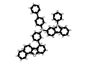 c1ccc(-c2ccc(N(c3cccc(-c4cccc5oc6c7ccccc7ccc6c45)c3)c3ccc4c5ccccc5n(-c5ccccc5)c4c3)cc2)cc1